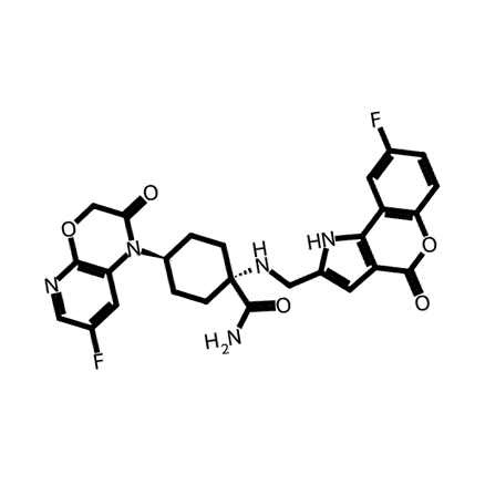 NC(=O)[C@]1(NCc2cc3c(=O)oc4ccc(F)cc4c3[nH]2)CC[C@H](N2C(=O)COc3ncc(F)cc32)CC1